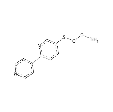 NOOSc1ccc(-c2ccncc2)nc1